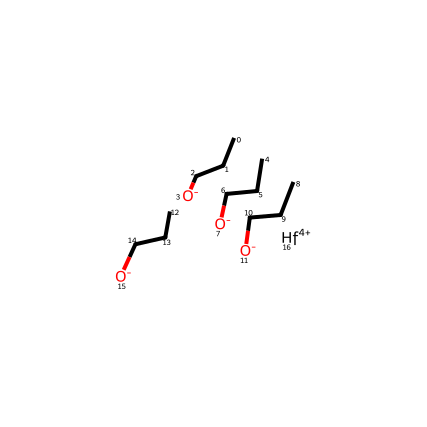 CCC[O-].CCC[O-].CCC[O-].CCC[O-].[Hf+4]